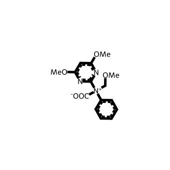 COC[N+](C(=O)[O-])(c1ccccc1)c1nc(OC)cc(OC)n1